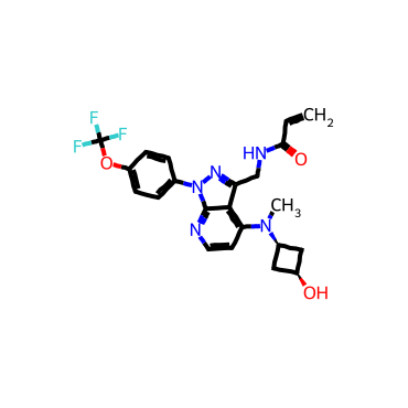 C=CC(=O)NCc1nn(-c2ccc(OC(F)(F)F)cc2)c2nccc(N(C)[C@H]3C[C@@H](O)C3)c12